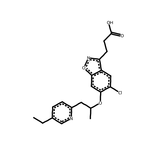 CCc1ccc(CC(C)Oc2cc3onc(CCC(=O)O)c3cc2Cl)nc1